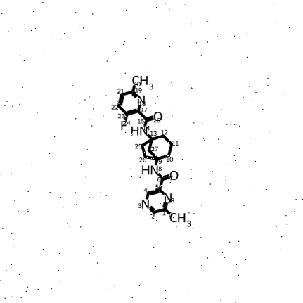 Cc1cncc(C(=O)NC23CCCC(NC(=O)c4nc(C)ccc4F)(CC2)C3)n1